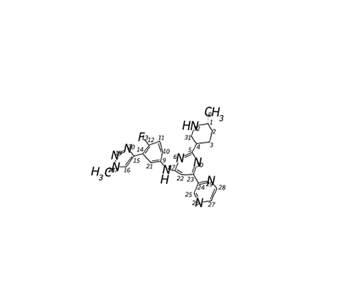 C[C@@H]1CCC(c2nc(Nc3ccc(F)c(-c4cn(C)nn4)c3)cc(-c3cnccn3)n2)CN1